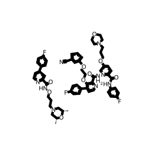 C[C@@H]1CN(CCCONC(=O)c2cc(-c3ccc(F)cc3)ccn2)C[C@H](C)O1.N#Cc1cccc(OCCOc2c(-c3ccc(F)cc3)ccnc2C(N)=O)c1.O=C(Nc1ccc(F)cc1)c1ccc(OCCCN2CCOCC2)cn1